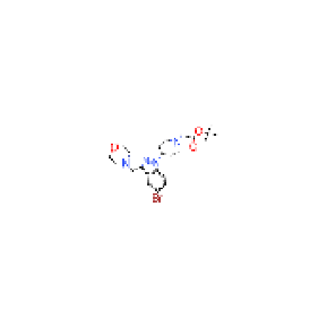 CC(C)(C)OC(=O)CN1CCC(n2nc(CN3CCOCC3)c3cc(Br)ccc32)CC1